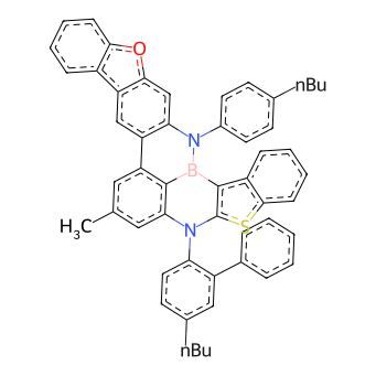 CCCCc1ccc(N2B3c4c(cc(C)cc4N(c4ccc(CCCC)cc4-c4ccccc4)c4sc5ccccc5c43)-c3cc4c(cc32)oc2ccccc24)cc1